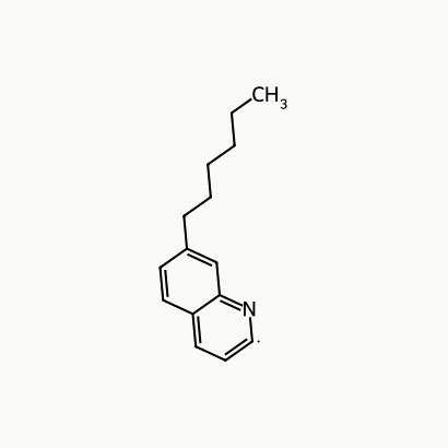 CCCCCCc1ccc2cc[c]nc2c1